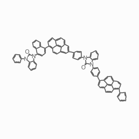 O=c1n(-c2ccc(-c3cc4ccc5ccc(-c6ccc(-n7c(=O)n(-c8ccccc8)c8ccccc87)c7ccccc67)c6ccc(c3)c4c56)cc2)c2ccccc2n1-c1ccc(-c2ccc3ccc4c(-c5ccccc5)ccc5ccc2c3c54)cc1